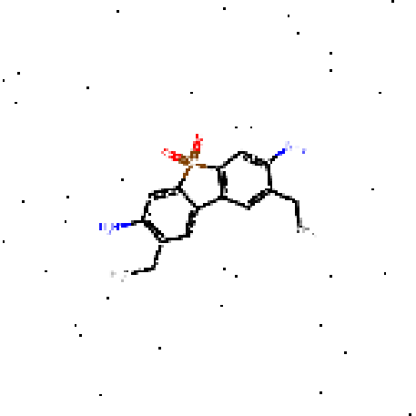 CCc1cc2c(cc1N)S(=O)(=O)c1cc(N)c(CC)cc1-2